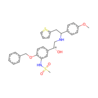 COc1ccc(C(Cc2cccs2)NC[C@H](O)c2ccc(OCc3ccccc3)c(NS(C)(=O)=O)c2)cc1